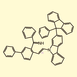 N=C(c1ccccc1)c1cc(-c2ccccc2)ccc1/C=C/n1c2ccccc2c2ccc(C3(c4ccccc4)c4ccccc4-c4ccccc43)cc21